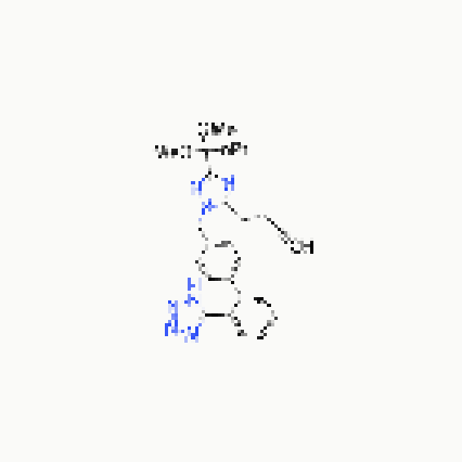 C#CCCc1nc(C(CCC)(OC)OC)nn1Cc1ccc(-c2ccccc2-c2nnn[nH]2)cc1